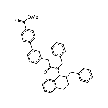 COC(=O)c1ccc(-c2cccc(CC(=O)N(Cc3ccccc3)C3c4ccccc4CCC3Cc3ccccc3)c2)cc1